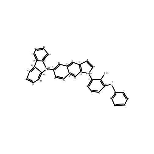 Clc1c(Sc2ccccc2)cccc1-n1ccc2cc3cc(-n4c5ccccc5c5ccccc54)ccc3cc21